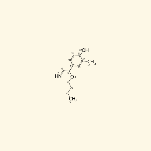 CCCCOC(C=N)c1ccc(O)c(C)c1